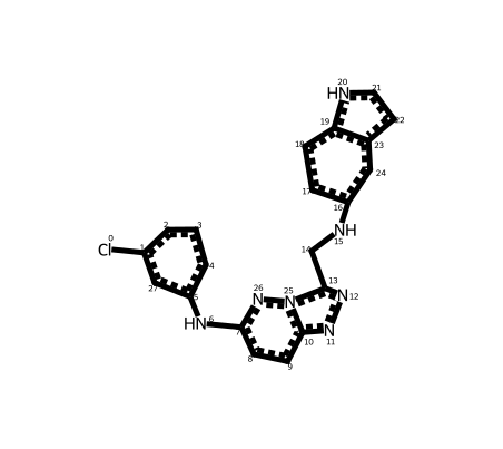 Clc1cccc(Nc2ccc3nnc(CNc4ccc5[nH]ccc5c4)n3n2)c1